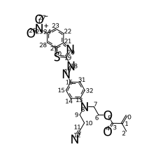 C=C(C)C(=O)OCCN(CCC#N)c1ccc(N=Nc2nc3ccc([N+](=O)[O-])cc3s2)cc1